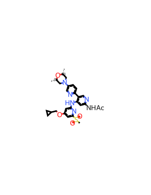 CC(=O)Nc1cc(Nc2cc(OCC3CC3)cc(S(C)(=O)=O)n2)c(-c2ccc(N3C[C@@H](C)O[C@@H](C)C3)cn2)cn1